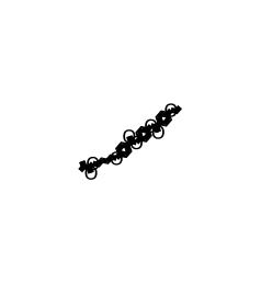 C=C(C)C(=O)OCCCCOc1ccc(C(=O)Oc2ccc(OC(=O)c3ccc(OCC)cc3)cc2)cc1